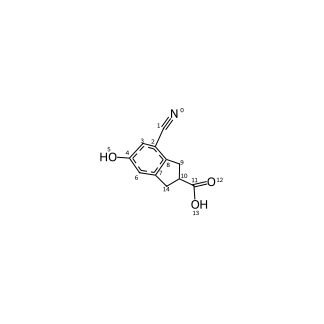 N#Cc1cc(O)cc2c1CC(C(=O)O)C2